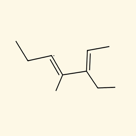 CC=C(CC)/C(C)=[C]/CC